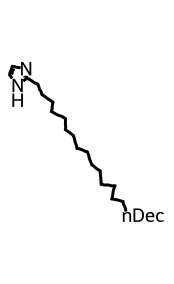 CCCCCCCCCCCCCCCCCCCCCCCCCc1ncc[nH]1